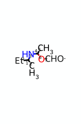 CCC(C)NC(C)O[C]=O